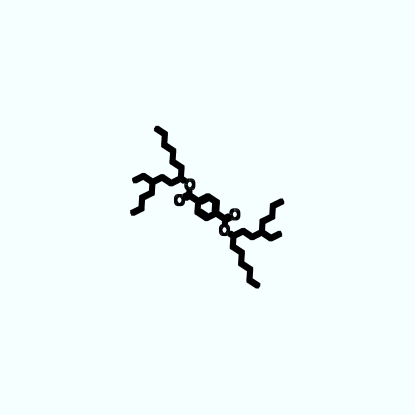 CCCCCCC(CCC(CC)CCCC)OC(=O)c1ccc(C(=O)OC(CCCCCC)CCC(CC)CCCC)cc1